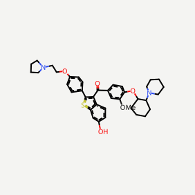 COc1cc(C(=O)c2c(-c3ccc(OCCN4CCCC4)cc3)sc3cc(O)ccc23)ccc1OC1CCCCC1N1CCCCC1